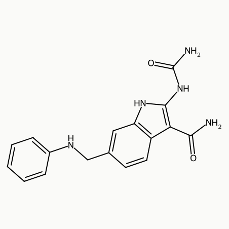 NC(=O)Nc1[nH]c2cc(CNc3ccccc3)ccc2c1C(N)=O